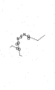 CC/C=C\CCCCOC(CCCC(=O)OCCCN(C)CCSSCCN(C)CCCOC(=O)CCCCCCC/C=C\CCCCCCCC)OCCCC/C=C\CC